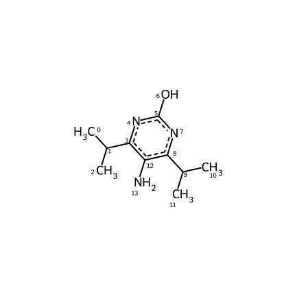 CC(C)c1nc(O)nc(C(C)C)c1N